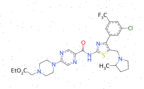 CCOC(=O)CN1CCN(c2cnc(C(=O)Nc3nc(-c4cc(Cl)cc(C(F)(F)F)c4)c(CN4CCCC4C)s3)cn2)CC1